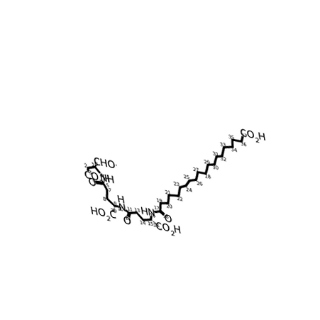 O=[C][C@H](CC(=O)O)NC(=O)CC[C@H](NC(=O)CC[C@H](NC(=O)CCCCCCCCCCCCCCCCCCC(=O)O)C(=O)O)C(=O)O